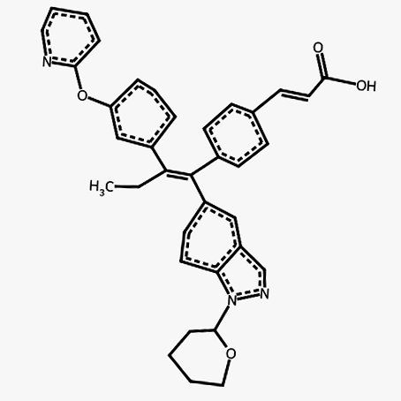 CC/C(=C(/c1ccc(/C=C/C(=O)O)cc1)c1ccc2c(cnn2C2CCCCO2)c1)c1cccc(Oc2ccccn2)c1